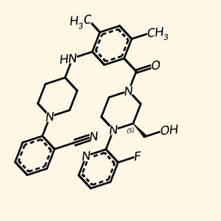 Cc1cc(C)c(C(=O)N2CCN(c3ncccc3F)[C@H](CO)C2)cc1NC1CCN(c2ccccc2C#N)CC1